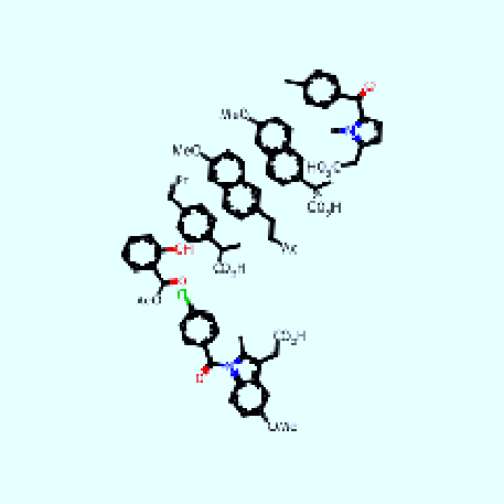 CC(=O)OC(=O)c1ccccc1O.CC(C)Cc1ccc(C(C)C(=O)O)cc1.COc1ccc2c(c1)c(CC(=O)O)c(C)n2C(=O)c1ccc(Cl)cc1.COc1ccc2cc(CCC(C)=O)ccc2c1.COc1ccc2cc([C@H](C)C(=O)O)ccc2c1.Cc1ccc(C(=O)c2ccc(CC(=O)O)n2C)cc1